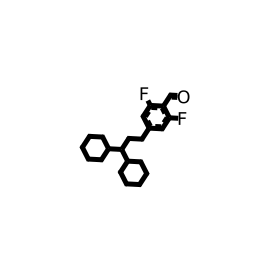 O=Cc1c(F)cc(CCC(C2CCCCC2)C2CCCCC2)cc1F